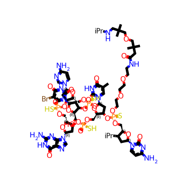 Cc1cn([C@H]2CC(OP(=S)(OCCOCCOCCNC(=O)CC(C)(C)COCC(C)(C)CNC(C)C)OC[C@H]3O[C@@H](n4ccc(N)nc4=O)CC3C(C)C)[C@@H](COP(=O)(S)OC3C[C@H](n4cnc5c(=O)[nH]c(N)nc54)O[C@@H]3COP(=O)(S)OC3C[C@H](N4C=CC(N)=NC4)O[C@@H]3COP(=O)(S)OC3C[C@H](n4cc(Br)c(=O)[nH]c4=O)O[C@@H]3CO)O2)c(=O)[nH]c1=O